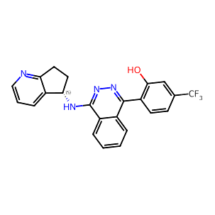 Oc1cc(C(F)(F)F)ccc1-c1nnc(N[C@H]2CCc3ncccc32)c2ccccc12